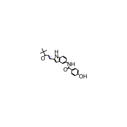 CC(C)(C)C(=O)/C=C/c1cc2cc(NC(=O)c3ccc(O)cc3)ccc2[nH]1